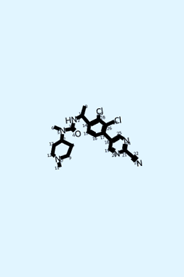 CC(NC(=O)N(C)C1CCN(C)CC1)c1ccc(-c2cnc(C#N)nc2)c(Cl)c1Cl